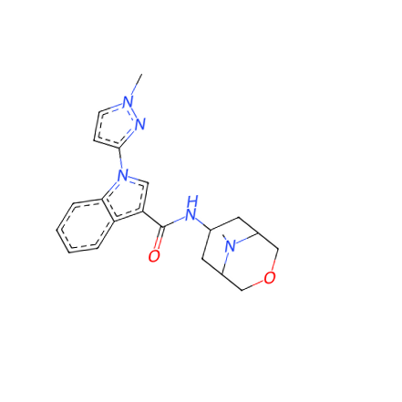 CN1C2COCC1CC(NC(=O)c1cn(-c3ccn(C)n3)c3ccccc13)C2